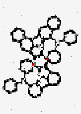 c1ccc(N(c2ccccc2)c2c3ccccc3cc3c4c5ccccc5cc5c6nc7c(cc6n(c23)c54)c2cccc3c4cccc(N(c5ccccc5)c5ccccc5)c4n7c23)cc1